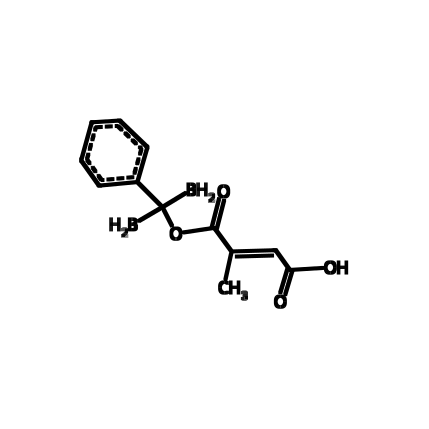 BC(B)(OC(=O)/C(C)=C/C(=O)O)c1ccccc1